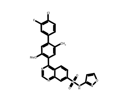 COc1cc(-c2ccc(Cl)c(F)c2)c(C)cc1-c1ncnc2cc(S(=O)(=O)Nc3ccon3)ccc12